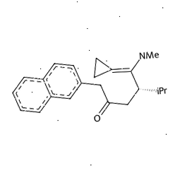 CNC(=C1CC1)[C@@H](CC(=O)Cc1ccc2ccccc2c1)C(C)C